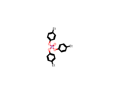 CCc1ccc(OP(=O)(Oc2ccc(CC)cc2)Oc2ccc(CC)cc2)cc1